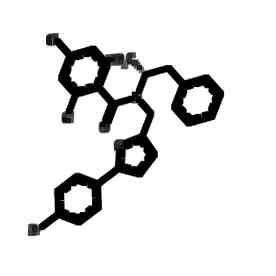 O=C(O)[C@H](Cc1ccccc1)N(Cc1ccc(-c2ccc(Br)cc2)o1)C(=O)c1ccc(Cl)cc1Cl